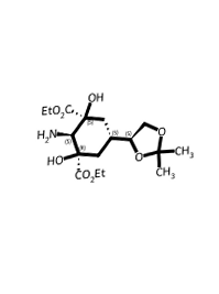 CCOC(=O)[C@]1(O)C[C@H]([C@H]2COC(C)(C)O2)C[C@](O)(C(=O)OCC)[C@H]1N